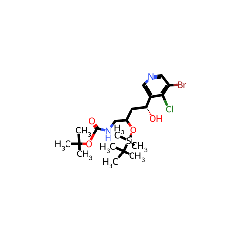 CC(C)(C)OC(=O)NCC(C[C@@H](O)c1cncc(Br)c1Cl)O[Si](C)(C)C(C)(C)C